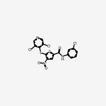 O=C(Nc1cccc(Cl)c1)c1cc([N+](=O)[O-])c(Sc2c(Cl)cncc2Cl)s1